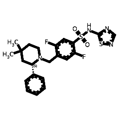 CC1(C)CCN(Cc2cc(F)c(S(=O)(=O)Nc3ncns3)cc2F)[C@H](c2ccccc2)C1